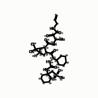 C=CCNC(=O)C(=O)C(CCCC)NC(=O)[C@@H]1C2[C@H](CN1C(=O)[C@@H](NC(=O)NC1(CS(=O)(=O)C(C)(C)C)CCCCC1)C1CCCCC1)C2(Cl)Cl